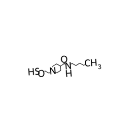 CCCCCNC(=O)C1CCN(CCOS)CC1